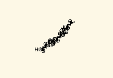 CC(=O)CCC(=O)O[C@H]1CO[C@H]2[C@@H]1OC[C@@H]2OC(=O)CCC(=O)O[C@H]1CO[C@H]2[C@@H]1OC[C@@H]2OC(=O)CCC(=O)O